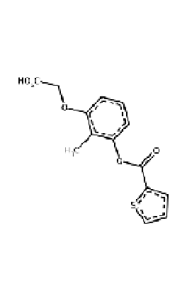 Cc1c(OCC(=O)O)cccc1OC(=O)c1cccs1